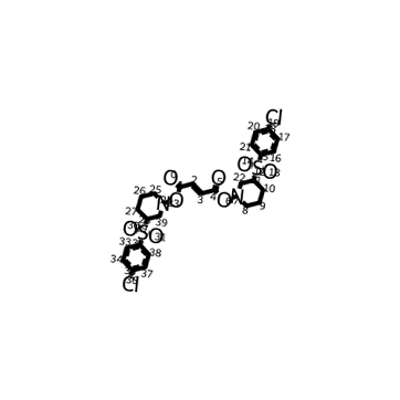 O=C(/C=C/C(=O)ON1CCCC(S(=O)(=O)c2ccc(Cl)cc2)C1)ON1CCCC(S(=O)(=O)c2ccc(Cl)cc2)C1